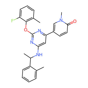 Cc1ccccc1C(C)Nc1cc(-c2ccc(=O)n(C)c2)nc(Oc2c(C)cccc2F)n1